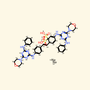 O=S(=O)(O)C1(S(=O)(=O)O)C=C(Nc2nc(Nc3ccccc3)nc(N3CCOCC3)n2)C=CC1C=Cc1ccc(Nc2nc(Nc3ccccc3)nc(N3CCOCC3)n2)cc1.[Na].[Na]